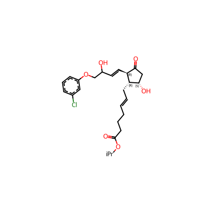 CC(C)OC(=O)CCCC=CC[C@H]1[C@@H](O)CC(=O)[C@@H]1C=CC(O)COc1cccc(Cl)c1